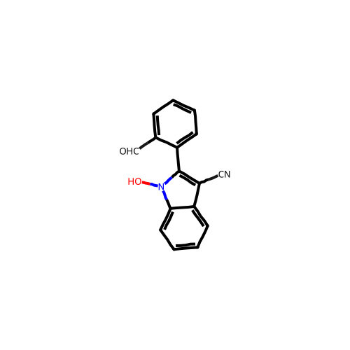 N#Cc1c(-c2ccccc2C=O)n(O)c2ccccc12